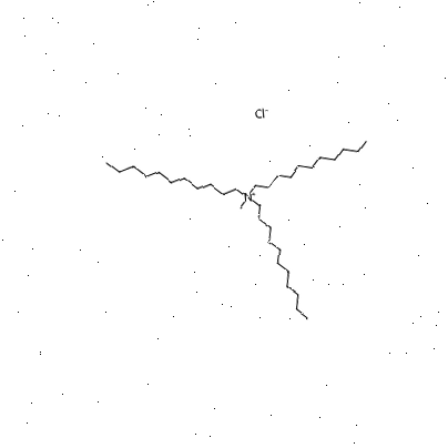 CCCCCCCCCCC[N+](C)(CCCCCCCCCCC)CCCCCCCCCCC.[Cl-]